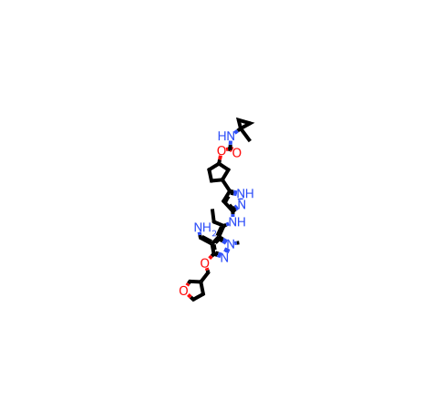 CC/C(Nc1cc(C2CCC(OC(=O)NC3(C)CC3)C2)[nH]n1)=c1\c(=C/N)c(OCC2CCOC2)nn1C